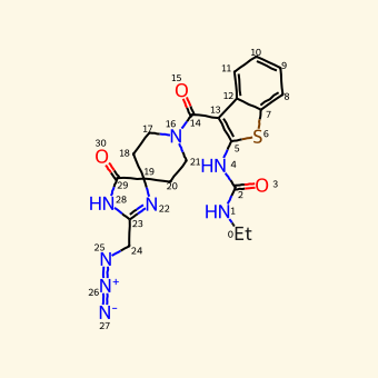 CCNC(=O)Nc1sc2ccccc2c1C(=O)N1CCC2(CC1)N=C(CN=[N+]=[N-])NC2=O